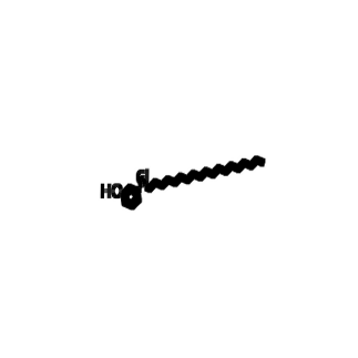 CCCCCCCCCCCCCCCCCCCP(Cl)c1cccc(O)c1